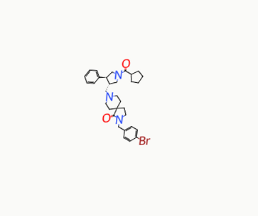 O=C(C1CCCC1)N1C[C@H](CN2CCC3(CC2)CCN(Cc2ccc(Br)cc2)C3=O)[C@@H](c2ccccc2)C1